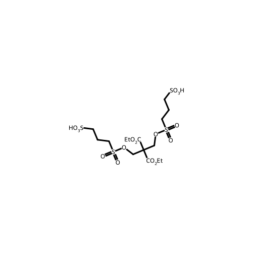 CCOC(=O)C(COS(=O)(=O)CCCS(=O)(=O)O)(COS(=O)(=O)CCCS(=O)(=O)O)C(=O)OCC